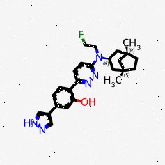 C[C@]12CC[C@](C)(C[C@@H](N(CCF)c3ccc(-c4ccc(-c5cn[nH]c5)cc4O)nn3)C1)C2